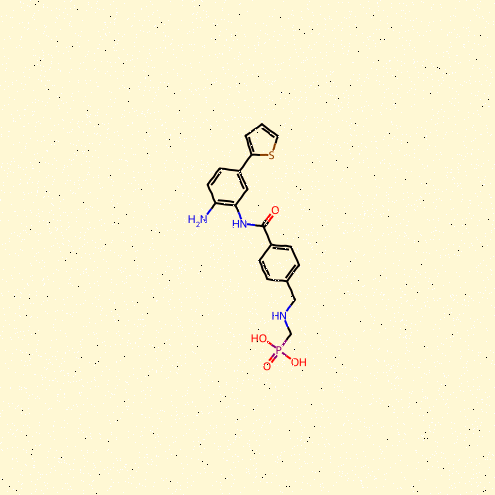 Nc1ccc(-c2cccs2)cc1NC(=O)c1ccc(CNCP(=O)(O)O)cc1